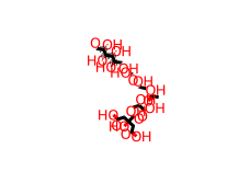 CC(=O)O.CC(O)C(=O)O.CCO.O=C(O)CC(O)(CC(=O)O)C(=O)O.O=CO.O=C[C@H](O)[C@@H](O)[C@H](O)[C@H](O)CO